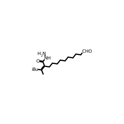 CCC(C)C(C)=C(CCCCCCCCCC=O)C(=O)NN